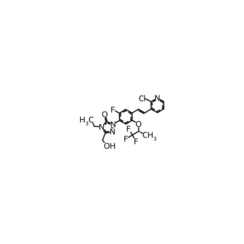 CCn1c(CO)nn(-c2cc(O[C@@H](C)C(F)(F)F)c(/C=C/c3cccnc3Cl)cc2F)c1=O